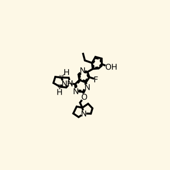 CCc1ccc(O)cc1-c1ncc2c(N3C[C@H]4CC[C@@H](C3)N4)nc(OCC34CCCN3CCC4)nc2c1F